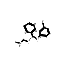 CNCC[C@@H](Oc1cccc(F)c1)c1ccccc1